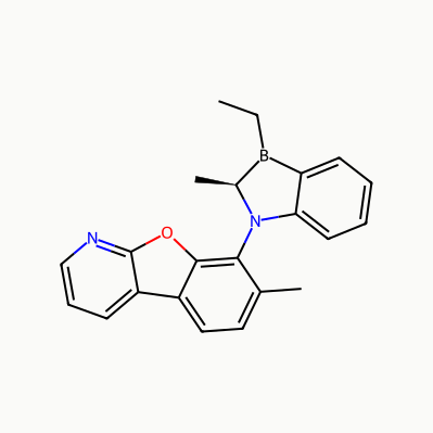 CCB1c2ccccc2N(c2c(C)ccc3c2oc2ncccc23)[C@H]1C